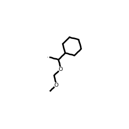 [CH2]C(OCOC)C1CCCCC1